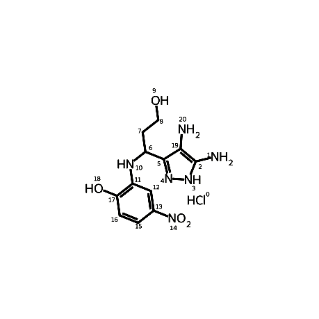 Cl.Nc1[nH]nc(C(CCO)Nc2cc([N+](=O)[O-])ccc2O)c1N